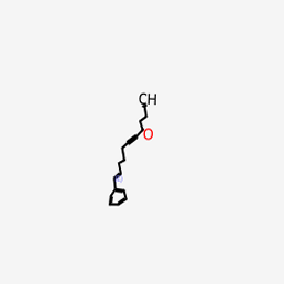 C#CCCC(=O)C#CCCC/C=C/c1ccccc1